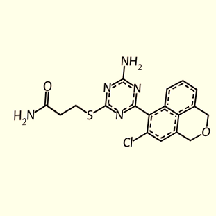 NC(=O)CCSc1nc(N)nc(-c2c(Cl)cc3c4c(cccc24)COC3)n1